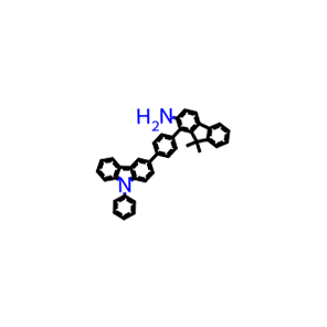 CC1(C)c2ccccc2-c2ccc(N)c(-c3ccc(-c4ccc5c(c4)c4ccccc4n5-c4ccccc4)cc3)c21